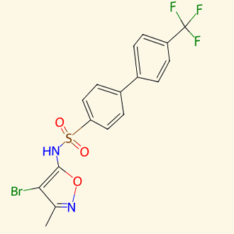 Cc1noc(NS(=O)(=O)c2ccc(-c3ccc(C(F)(F)F)cc3)cc2)c1Br